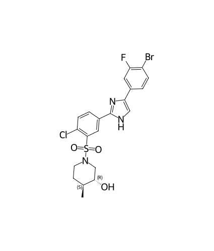 C[C@H]1CCN(S(=O)(=O)c2cc(-c3nc(-c4ccc(Br)c(F)c4)c[nH]3)ccc2Cl)C[C@@H]1O